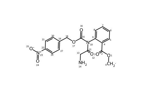 [CH2]OC(=O)c1ccccc1N(C(=O)CN)C(=O)OCc1ccc([N+](=O)[O-])cc1